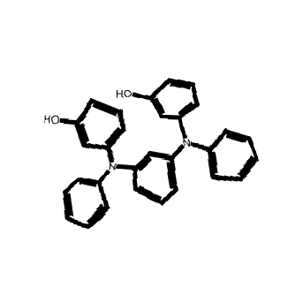 Oc1cccc(N(c2ccccc2)c2cccc(N(c3ccccc3)c3cccc(O)c3)c2)c1